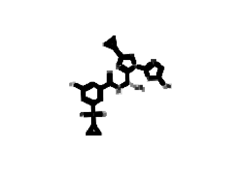 C[C@H](NC(=O)c1cc(Cl)cc(S(=O)(=O)C2CC2)c1)c1nc(C2CC2)nn1-c1ncc(C#N)s1